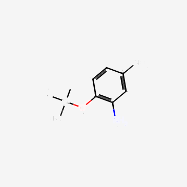 CC(C)(C)[Si](C)(C)Oc1ccc([N+](=O)[O-])cc1N